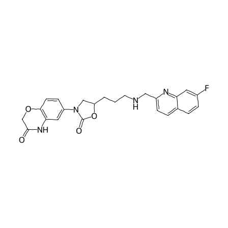 O=C1COc2ccc(N3CC(CCCNCc4ccc5ccc(F)cc5n4)OC3=O)cc2N1